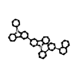 c1ccc(-n2c3ccccc3c3cc(-c4ccc5c(c4)c4ccccc4n5-c4ccccc4-c4cccc(-c5cccc6ccccc56)c4)ccc32)cc1